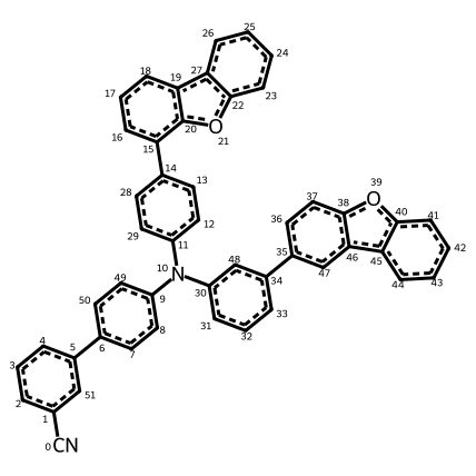 N#Cc1cccc(-c2ccc(N(c3ccc(-c4cccc5c4oc4ccccc45)cc3)c3cccc(-c4ccc5oc6ccccc6c5c4)c3)cc2)c1